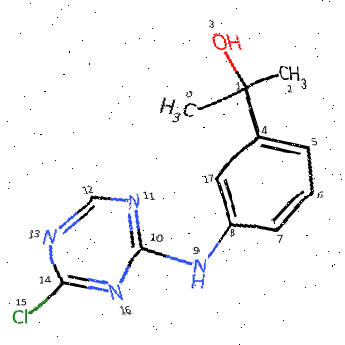 CC(C)(O)c1cccc(Nc2ncnc(Cl)n2)c1